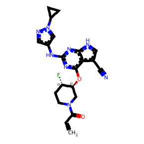 C=CC(=O)N1CC[C@H](F)[C@@H](Oc2nc(Nc3cnn(C4CC4)c3)nc3[nH]cc(C#N)c23)C1